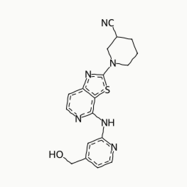 N#CC1CCCN(c2nc3ccnc(Nc4cc(CO)ccn4)c3s2)C1